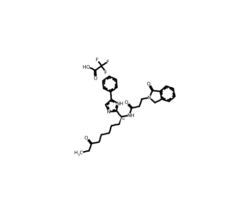 CCC(=O)CCCCC[C@H](NC(=O)CCN1Cc2ccccc2C1=O)c1ncc(-c2ccccc2)[nH]1.O=C(O)C(F)(F)F